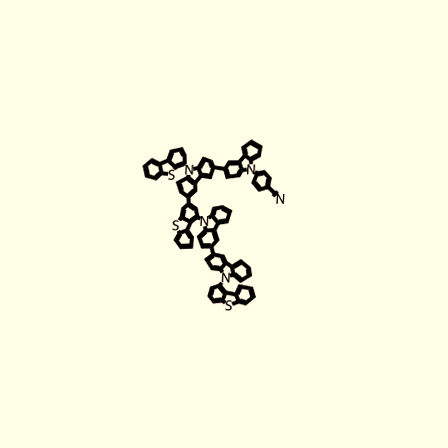 N#Cc1ccc(-n2c3ccccc3c3cc(-c4ccc5c(c4)c4cc(-c6cc(-n7c8ccccc8c8cc(-c9ccc%10c(c9)c9ccccc9n%10-c9cccc%10sc%11ccccc%11c9%10)ccc87)c7c(c6)sc6ccccc67)ccc4n5-c4cccc5c4sc4ccccc45)ccc32)cc1